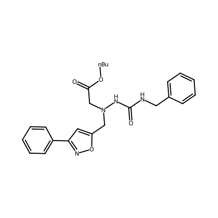 CCCCOC(=O)CN(Cc1cc(-c2ccccc2)no1)NC(=O)NCc1ccccc1